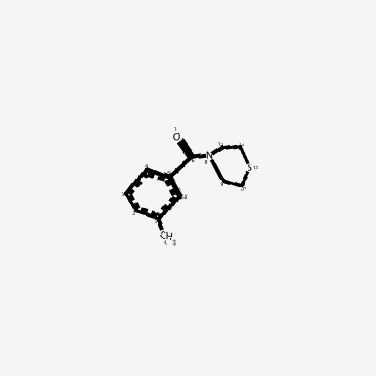 Cc1cccc(C(=O)N2CCSCC2)c1